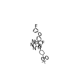 CC(C)(C)OC(=O)C1CCC(n2nc(-c3ccc(Oc4cccc(F)c4)cc3F)c3c(N)ncnc32)CC1